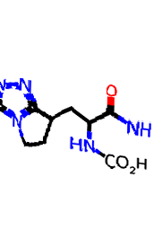 NC(=O)C(CC1CCn2cnnc21)NC(=O)O